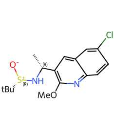 COc1nc2ccc(Cl)cc2cc1[C@@H](C)N[S@@+]([O-])C(C)(C)C